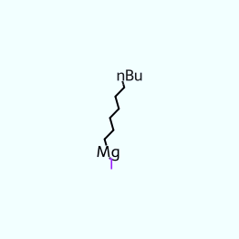 CCCCCCCCC[CH2][Mg][I]